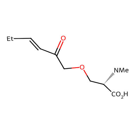 CC/C=C/C(=O)COC[C@H](NC)C(=O)O